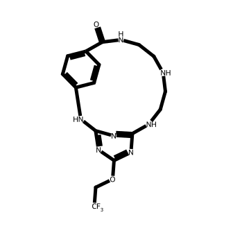 O=C1NCCNCCNc2nc(nc(OCC(F)(F)F)n2)Nc2ccc1cc2